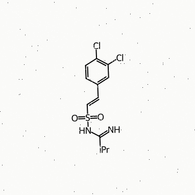 CC(C)C(=N)NS(=O)(=O)C=Cc1ccc(Cl)c(Cl)c1